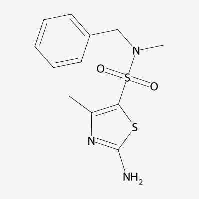 Cc1nc(N)sc1S(=O)(=O)N(C)Cc1ccccc1